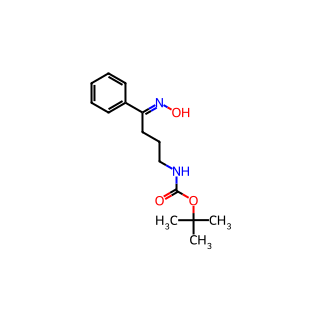 CC(C)(C)OC(=O)NCCCC(=NO)c1ccccc1